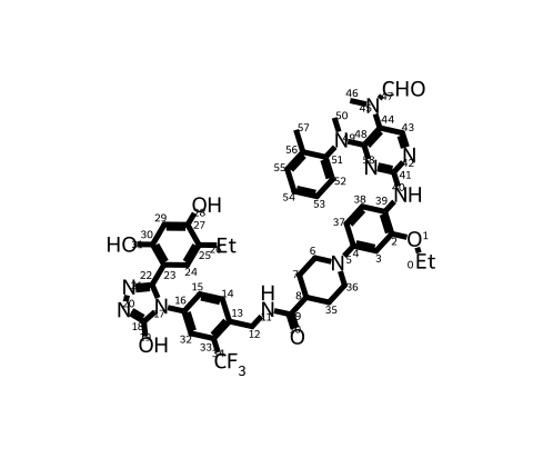 CCOc1cc(N2CCC(C(=O)NCc3ccc(-n4c(O)nnc4-c4cc(CC)c(O)cc4O)cc3C(F)(F)F)CC2)ccc1Nc1ncc(N(C)C=O)c(N(C)c2ccccc2C)n1